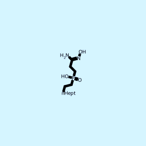 CCCCCCCCCP(=O)(O)CCC(N)=NO